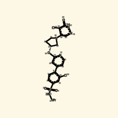 CCCNS(=O)(=O)c1ccc(-c2ccnc(O[C@@H]3CCN(c4cn[nH]c(=O)c4Cl)C3)c2)c(Cl)c1